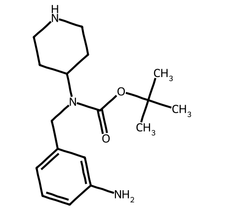 CC(C)(C)OC(=O)N(Cc1cccc(N)c1)C1CCNCC1